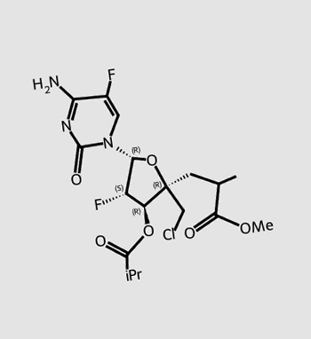 COC(=O)C(C)C[C@@]1(CCl)O[C@@H](n2cc(F)c(N)nc2=O)[C@@H](F)[C@@H]1OC(=O)C(C)C